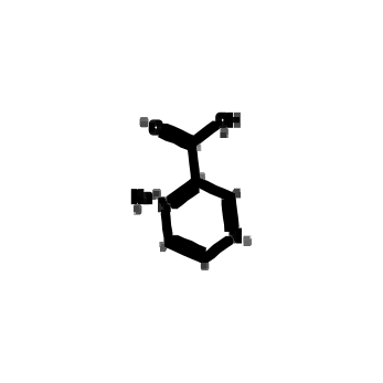 O=C(O)c1cnccn1.[Na]